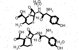 CC1=C(C(=O)O)N2C(=O)[C@@H](NC(=O)[C@H](N)c3ccc(O)cc3)[C@H]2SC1.CC1=C(C(=O)O)N2C(=O)[C@@H](NC(=O)[C@H](N)c3ccc(O)cc3)[C@H]2SC1.O.O.O